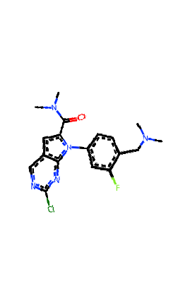 CN(C)Cc1ccc(-n2c(C(=O)N(C)C)cc3cnc(Cl)nc32)cc1F